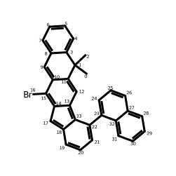 CC1(C)c2ccccc2C=c2c1cc1c(c2Br)C=c2cccc(-c3cccc4ccccc34)c2=1